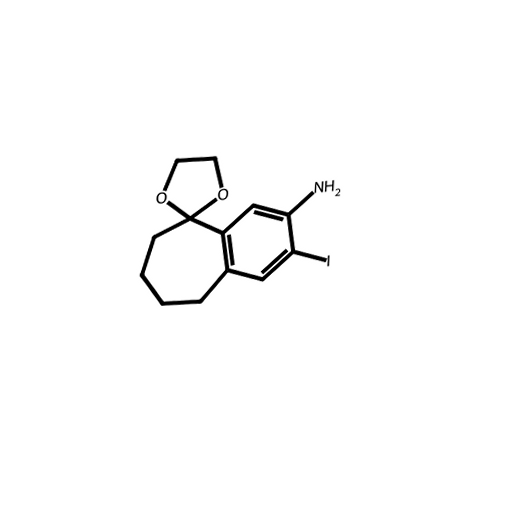 Nc1cc2c(cc1I)CCCCC21OCCO1